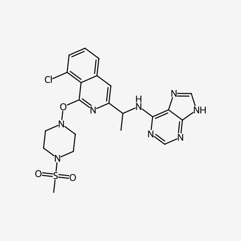 CC(Nc1ncnc2[nH]cnc12)c1cc2cccc(Cl)c2c(ON2CCN(S(C)(=O)=O)CC2)n1